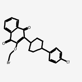 O=C1C(OCBr)=C(C2CCC(c3ccc(Cl)cc3)CC2)C(=O)c2ccccc21